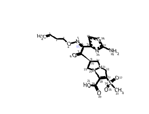 C=CCCO/N=C(\C(=O)[C@H]1CN2CC(S(C)(=O)=O)=C(C(=O)O)N2C1)c1csc(N)n1